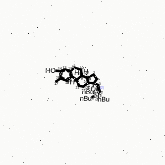 CCC[CH2][Sn](/[CH]=C\[C@]1(O)CC[C@H]2[C@@H]3CCc4cc(O)c(C)cc4[C@H]3CC[C@@]21C)([CH2]CCC)[CH2]CCC